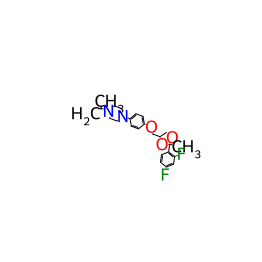 C=C(C)N1CCN(c2ccc(OCC3COC(C)(c4ccc(F)cc4F)O3)cc2)CC1